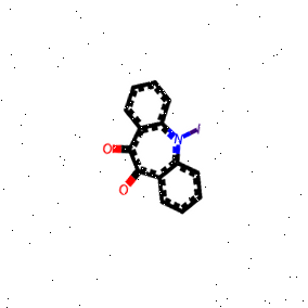 O=c1c(=O)c2ccccc2n(I)c2ccccc12